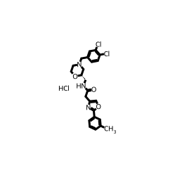 Cc1cccc(-c2nc(CC(=O)NC[C@H]3CN(Cc4ccc(Cl)c(Cl)c4)CCO3)co2)c1.Cl